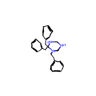 c1ccc(CN2CNCNC2(Cc2ccccc2)Cc2ccccc2)cc1